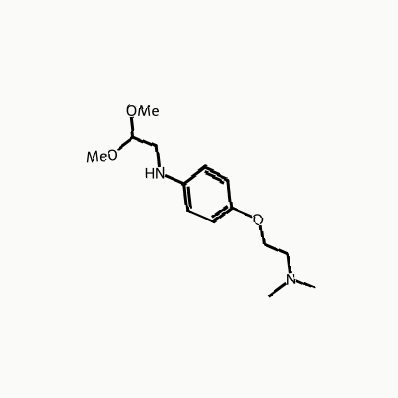 COC(CNc1ccc(OCCN(C)C)cc1)OC